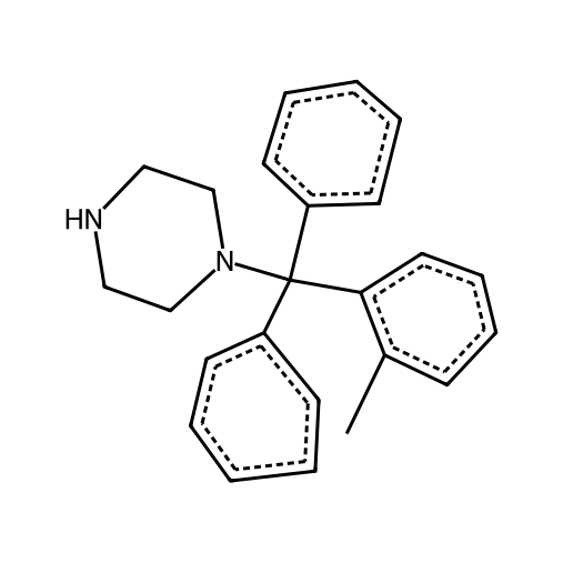 Cc1ccccc1C(c1ccccc1)(c1ccccc1)N1CCNCC1